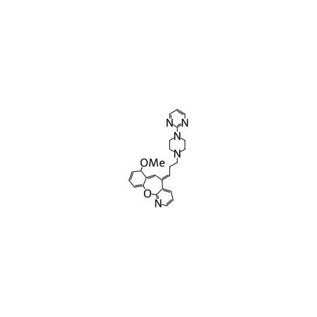 COC1C=CC=C2Oc3ncccc3C(=CCCN3CCN(c4ncccn4)CC3)C=C21